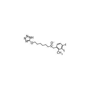 Cc1c(C[S+]([O-])CCCCCCOc2nnn[nH]2)ccc(I)c1I